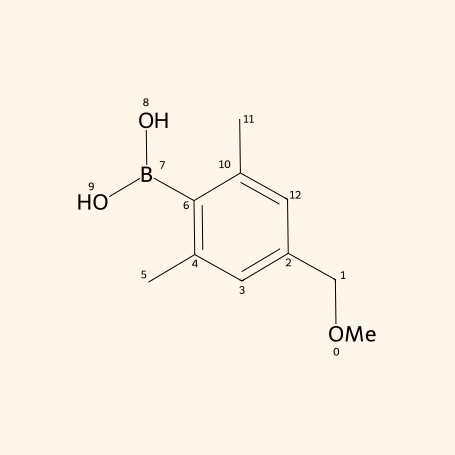 COCc1cc(C)c(B(O)O)c(C)c1